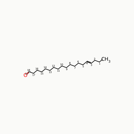 CCCC=CCCCCCCCCCCCCC[C]=O